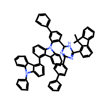 CC1(C)c2ccccc2-c2cccc(C3=NC(c4ccc(-c5ccccc5)cc4)=NC(c4ccc(-c5ccccc5)cc4-n4c5c(c6c(-c7cccc8c7c7ccccc7n8-c7ccccc7)cccc64)=CCCC=5)N3)c21